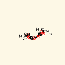 C=C(C)C(=O)Oc1ccc(OCCCOc2ccc(OC(=O)C(=C)C)cc2)cc1